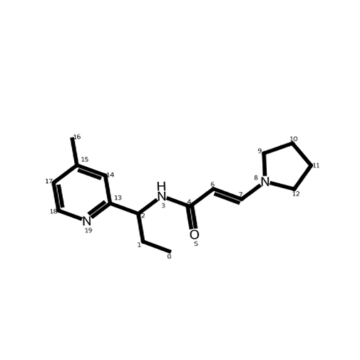 CCC(NC(=O)C=CN1CCCC1)c1cc(C)ccn1